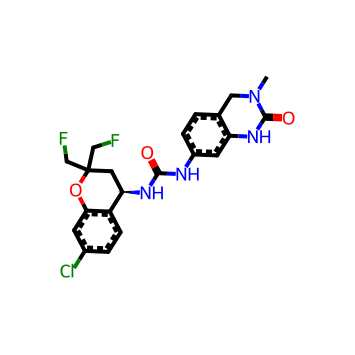 CN1Cc2ccc(NC(=O)N[C@@H]3CC(CF)(CF)Oc4cc(Cl)ccc43)cc2NC1=O